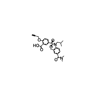 C#CCOc1ccc(S(=O)(=O)N(CC(C)C)c2ccc(C(=O)N(C)C)cc2C)cc1C(=O)O